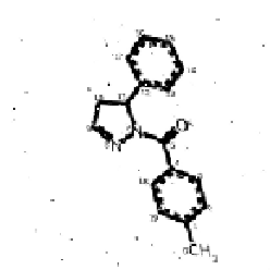 Cc1ccc(C(=O)N2N=CCC2c2ccccc2)cc1